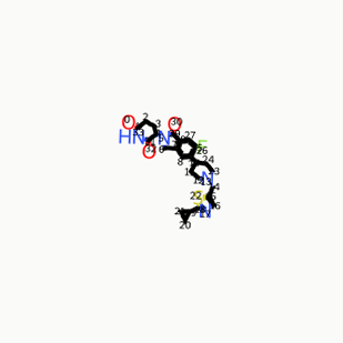 O=C1CCC(N2Cc3cc(C4CCN(Cc5cnc(C6CC6)s5)CC4)c(F)cc3C2=O)C(=O)N1